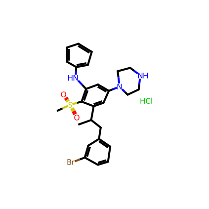 CC(Cc1cccc(Br)c1)c1cc(N2CCNCC2)cc(Nc2ccccc2)c1S(C)(=O)=O.Cl